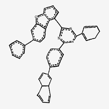 C1=CC2C=CC(c3ccc(-c4nc(C5=CCCC=C5)nc(-c5cccc6oc7cc(-c8ccccc8)ccc7c56)n4)cc3)=CC2C=C1